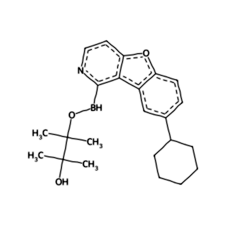 CC(C)(O)C(C)(C)OBc1nccc2oc3ccc(C4CCCCC4)cc3c12